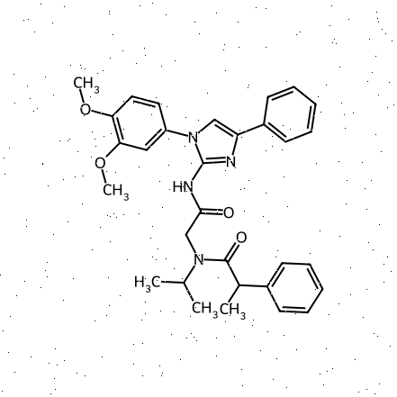 COc1ccc(-n2cc(-c3ccccc3)nc2NC(=O)CN(C(=O)C(C)c2ccccc2)C(C)C)cc1OC